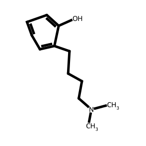 CN(C)CCCCc1ccccc1O